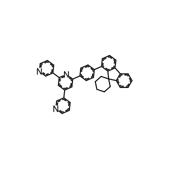 c1cncc(-c2cc(-c3ccc(-c4cccc5c4C4(CCCCC4)c4ccccc4-5)cc3)nc(-c3cccnc3)c2)c1